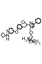 C[Si](C)(C)CCOCn1cc(-c2ccccc2)nc1C1COc2ccc(Oc3ccnc(NC4CCC4)c3)cc2C1